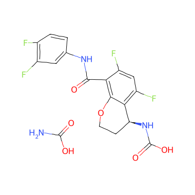 NC(=O)O.O=C(O)N[C@H]1CCOc2c(C(=O)Nc3ccc(F)c(F)c3)c(F)cc(F)c21